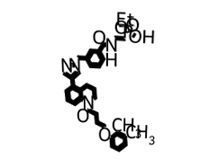 CCOP(=O)(O)CCNC(=O)c1cccc(Cn2cc(-c3cccc4c3CCCN4C(=O)CCCOc3cccc(C)c3C)cn2)c1